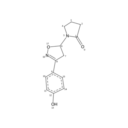 O=C1CCCN1C1CC(c2ccc(O)cc2)=NO1